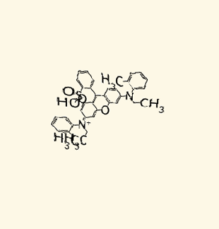 CCN(c1ccc2c(-c3ccccc3S(=O)(=O)O)c3cc/c(=[N+](/CC)c4ccccc4C)cc-3oc2c1)c1ccccc1C